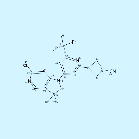 CC(F)(F)c1nc(C2CC(C#N)C2)cc(N2CC3(CC3)c3cnc(Cl)cc32)n1